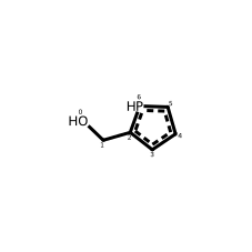 OCc1ccc[pH]1